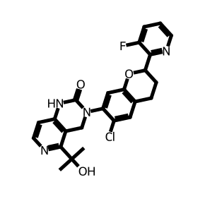 CC(C)(O)c1nccc2c1CN(c1cc3c(cc1Cl)CCC(c1ncccc1F)O3)C(=O)N2